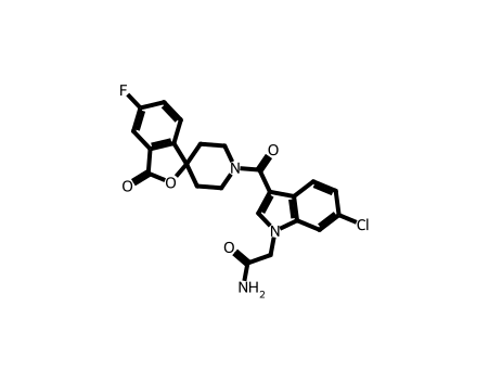 NC(=O)Cn1cc(C(=O)N2CCC3(CC2)OC(=O)c2cc(F)ccc23)c2ccc(Cl)cc21